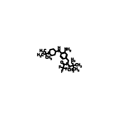 C[C@H](N(Cc1ccc(NC2CCN(C(C)(C)C)CC2)c(N)c1)C(=O)C(F)(F)F)C(C)(C)C